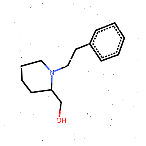 OCC1CCCCN1CCc1ccccc1